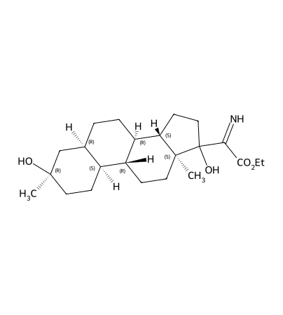 CCOC(=O)C(=N)C1(O)CC[C@H]2[C@@H]3CC[C@@H]4C[C@](C)(O)CC[C@@H]4[C@H]3CC[C@@]21C